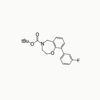 CC(C)(C)OC(=O)N1CCOc2c(cccc2-c2cccc(F)c2)C1